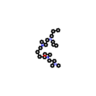 c1ccc(-c2cccc(-c3ccc(N(c4cccc(-c5cccc6c5c5ccccc5n6-c5ccc(-c6cccc(-c7cccc(-c8ccc(N(c9cccc(-c%10cccc%11c%10c%10ccccc%10n%11-c%10ccccc%10)c9)c9ccccc9-c9ccccc9)cc8)c7)c6)cc5)c4)c4ccc5c(ccc6ccccc65)c4)cc3)c2)cc1